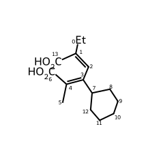 CCC(=CC(=C(C)C(=O)O)C1CCCCC1)C(=O)O